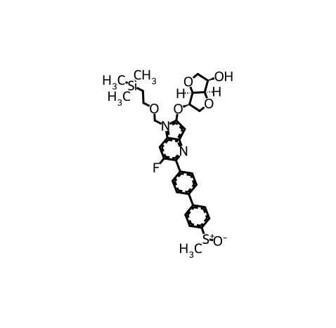 C[S+]([O-])c1ccc(-c2ccc(-c3nc4cc(O[C@@H]5CO[C@H]6[C@@H]5OC[C@H]6O)n(COCC[Si](C)(C)C)c4cc3F)cc2)cc1